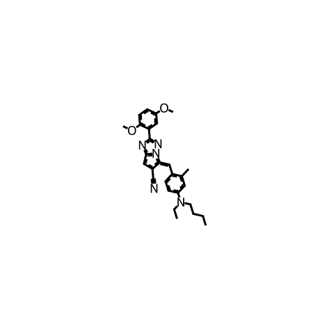 CCCCN(CC)c1ccc(/C=c2\c(C#N)cc3nc(-c4cc(OC)ccc4OC)nn23)c(C)c1